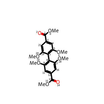 COC(=O)c1cc(OC)c(-c2c(OC)cc(C(=O)OC)cc2OC)c(OC)c1